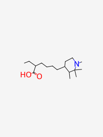 CCC(CCCCC1CCN(C)C(C)(C)C1C)C(=O)O